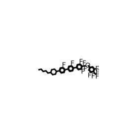 CCCCCC1CCC(c2ccc(-c3ccc(-c4cc(F)c(C(F)(F)Oc5cc(F)c(C(F)(F)F)c(F)c5)c(F)c4)c(F)c3)c(F)c2)CC1